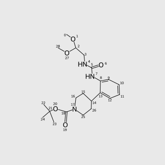 COC(CNC(=O)Nc1ccccc1C1CCN(C(=O)OC(C)(C)C)CC1)OC